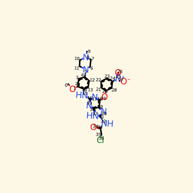 COc1cc(N2CCN(C)CC2)ccc1Nc1nc(Oc2cccc([N+](=O)[O-])c2)c2nc(NC(=O)CCl)[nH]c2n1